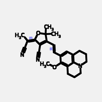 COc1c(/C=C/C2=C(C#N)C(=C(/C)C#N)/OC2(C)C)cc2c3c1CCCN3CCC2